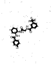 O=C(CNC(=O)c1cccc(C(F)(F)F)c1)N[C@@H]1CCCC[C@@H]1NC(=O)c1ccc(I)cc1